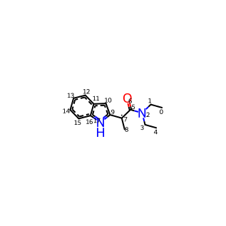 CCN(CC)C(=O)[C](C)c1cc2ccccc2[nH]1